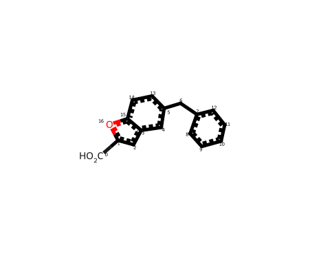 O=C(O)c1cc2cc(Cc3ccccc3)ccc2o1